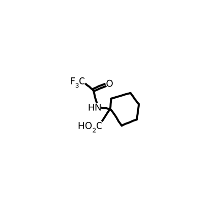 O=C(NC1(C(=O)O)CCCCC1)C(F)(F)F